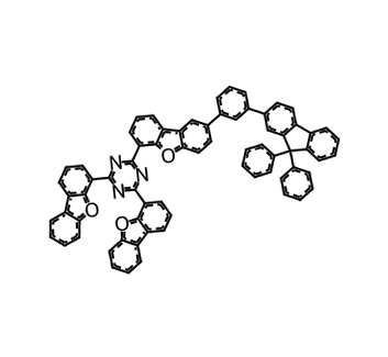 c1ccc(C2(c3ccccc3)c3ccccc3-c3ccc(-c4cccc(-c5ccc6oc7c(-c8nc(-c9cccc%10c9oc9ccccc9%10)nc(-c9cccc%10c9oc9ccccc9%10)n8)cccc7c6c5)c4)cc32)cc1